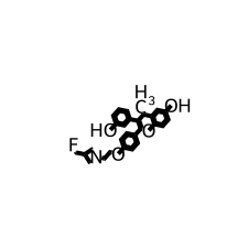 CC1C(c2cccc(O)c2)=C(c2ccc(OCCN3CC(CF)C3)cc2)Oc2ccc(O)cc21